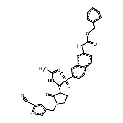 CC(=O)NN([C@H]1CCN(Cc2csc(C#N)c2)C1=O)S(=O)(=O)c1ccc2ccc(NC(=O)OCc3ccccc3)cc2c1